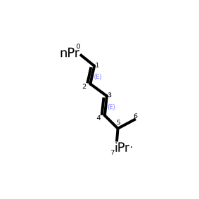 CCC/C=C/C=C/C(C)[C](C)C